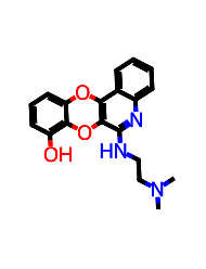 CN(C)CCNc1nc2ccccc2c2c1Oc1c(O)cccc1O2